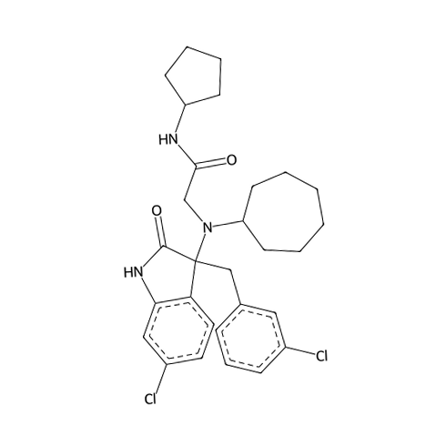 O=C(CN(C1CCCCCC1)C1(Cc2cccc(Cl)c2)C(=O)Nc2cc(Cl)ccc21)NC1CCCC1